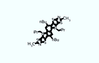 CCCCc1cc2c(cc(CCCC)c3c4sc5nc(C)sc5c4n(CC(C)C)c23)c2c1c1sc3nc(C)sc3c1n2CC(C)C